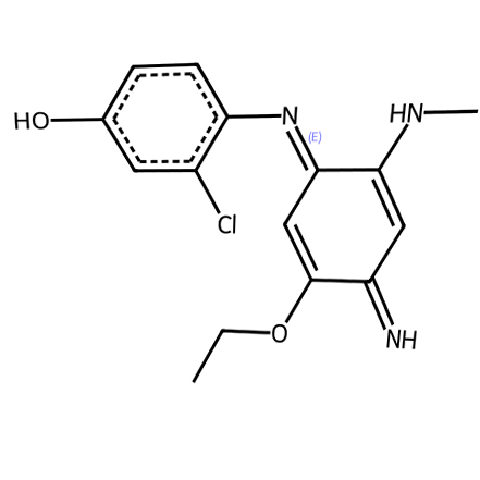 CCOC1=C/C(=N\c2ccc(O)cc2Cl)C(NC)=CC1=N